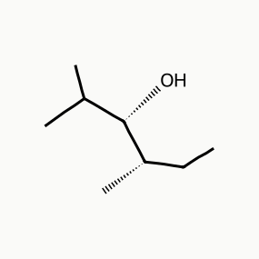 CC[C@H](C)[C@@H](O)C(C)C